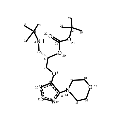 CC(C)(C)NC[C@@H](COc1nsnc1N1CCOCC1)OC(=O)OC(C)(C)C